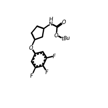 CC(C)(C)OC(=O)NC1CCC(Oc2cc(F)c(F)c(F)c2)C1